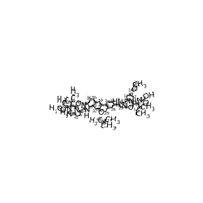 CC[C@H](C)[C@H](NC(=O)O)C(=O)N1C[C@@H](COC)C[C@H]1c1ncc(-c2ccc3c(c2)COc2cc4c(ccc5nc([C@@H]6CC[C@H](C)N6C(=O)[C@@H](NC(=O)OC)C(C)C)[nH]c54)cc2-3)[nH]1.C[C](C)C